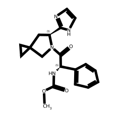 COC(=O)N[C@H](C(=O)N1CC2(CC2)C[C@H]1c1ncc[nH]1)c1ccccc1